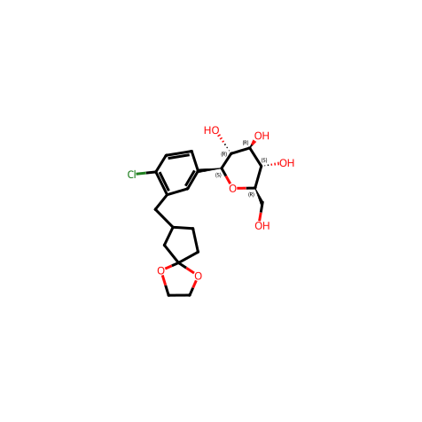 OC[C@H]1O[C@@H](c2ccc(Cl)c(CC3CCC4(C3)OCCO4)c2)[C@H](O)[C@@H](O)[C@@H]1O